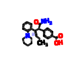 CC/C=C(/c1ccccc1N1CCCCC1)C(C(N)=O)c1ccc(C(=O)O)cc1